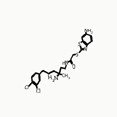 CC(N)(CCCc1ccc(Cl)c(Cl)c1)CCNC(=O)CSc1nc2ccc(N)cc2s1